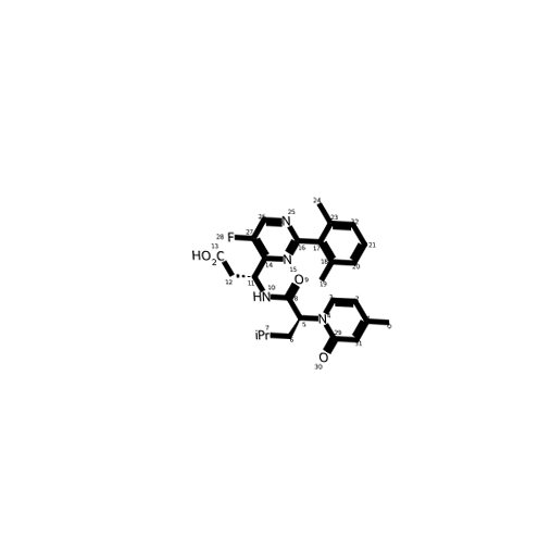 Cc1ccn([C@@H](CC(C)C)C(=O)N[C@H](CC(=O)O)c2nc(-c3c(C)cccc3C)ncc2F)c(=O)c1